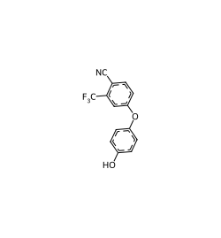 N#Cc1ccc(Oc2ccc(O)cc2)cc1C(F)(F)F